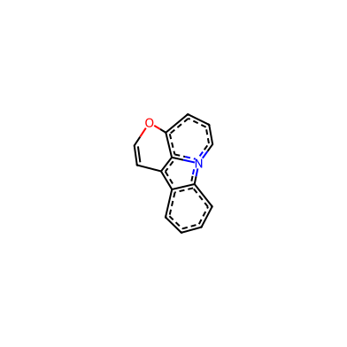 C1=Cc2c3ccccc3n3cccc(c23)O1